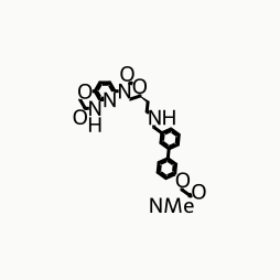 CNC(=O)COc1cccc(-c2cccc(CNCC[C@H]3CN(c4ccc5c(n4)NC(=O)CO5)C(=O)O3)c2)c1